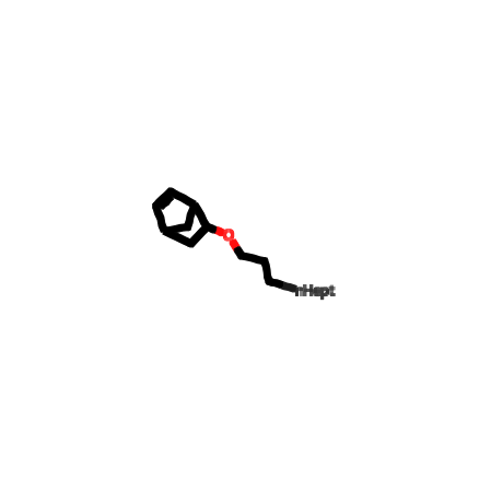 CCCCCCCCCCOC1CC2C=CC1C2